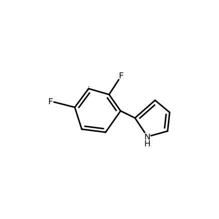 Fc1[c]c(F)c(-c2ccc[nH]2)cc1